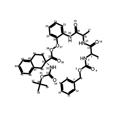 CC(NC(=O)OCc1ccccc1)C(=O)NC(C)C(=O)Nc1ccccc1OOC(=O)[C@]1(NC(=O)OC(C)(C)C)CCc2ccccc2C1